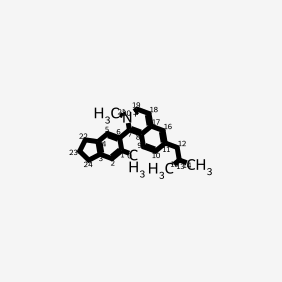 Cc1cc2c(cc1-c1c3ccc(CC(C)C)cc3cc[n+]1C)CCC2